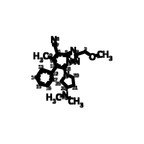 COCc1nc2c(C#N)c(C)c(-c3ccccc3)c(N3CC[C@H](N(C)C)C3)n2n1